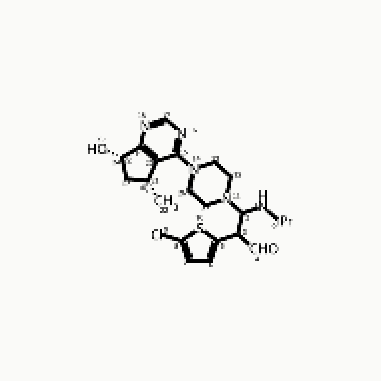 CC(C)NC(C(C=O)c1ccc(Cl)s1)N1CCN(c2ncnc3c2[C@H](C)C[C@@H]3O)CC1